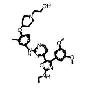 CCNc1nc(-c2cc(OC)cc(OC)c2)c(-c2ccnc(Nc3ccc(OC4CCN(CCO)CC4)c(F)c3)n2)o1